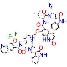 CC(C)C[C@@H](C(=O)N1C[C@]2(C[C@H]1C#N)C(=O)Nc1ccccc12)N(C)C(=O)c1cc2ccc(=O)[nH]c2cc1OC1CC1CC(C)C[C@@H](C(=O)N1C[C@]2(C[C@H]1C#N)C(=O)Nc1ccccc12)N(C)C(=O)c1cc2cccnc2cc1OC(F)F